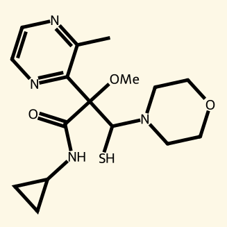 COC(C(=O)NC1CC1)(c1nccnc1C)C(S)N1CCOCC1